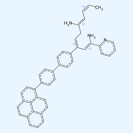 C/C=C\C=C(/N)C/C=C(\C=C(/N)c1ccccn1)c1ccc(-c2ccc(-c3ccc4ccc5cccc6ccc3c4c56)cc2)cc1